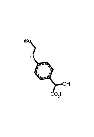 CCC(C)COc1ccc(C(O)C(=O)O)cc1